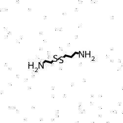 NCCCSSCCN